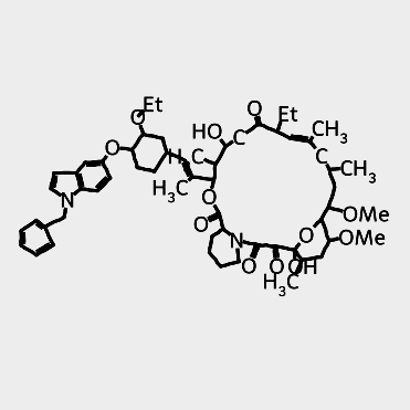 CCOC1CC(C=C(C)C2OC(=O)C3CCCCN3C(=O)C(=O)C3(O)OC(C(OC)CC(C)C/C(C)=C/C(CC)C(=O)CC(O)C2C)C(OC)CC3C)CCC1Oc1ccc2c(ccn2Cc2ccccc2)c1